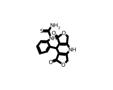 NC(=S)Nc1ccccc1C1C2=C(COC2=O)NC2=C1C(=O)OC2